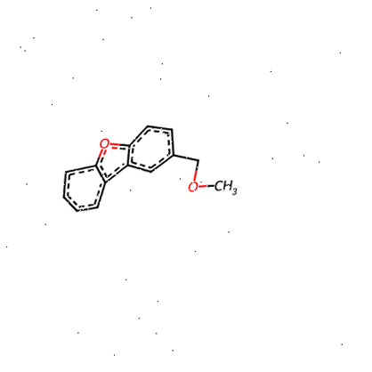 COCc1ccc2oc3ccccc3c2c1